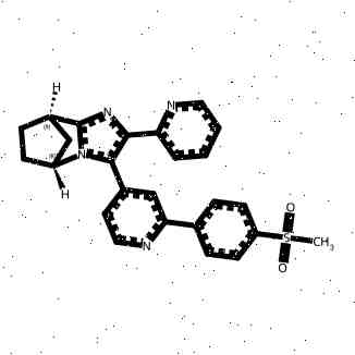 CS(=O)(=O)c1ccc(-c2cc(-c3c(-c4ccccn4)nc4n3[C@@H]3CC[C@@H]4C3)ccn2)cc1